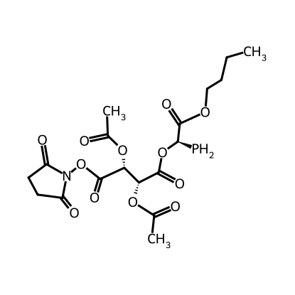 CCCCOC(=O)[C@@H](P)OC(=O)[C@H](OC(C)=O)[C@@H](OC(C)=O)C(=O)ON1C(=O)CCC1=O